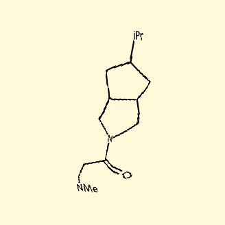 CNCC(=O)N1CC2CC(C(C)C)CC2C1